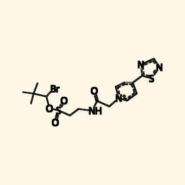 CC(C)(C)C(Br)OS(=O)(=O)CCNC(=O)C[n+]1ccc(-c2ncns2)cc1